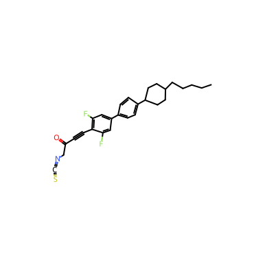 CCCCCC1CCC(c2ccc(-c3cc(F)c(C#CC(=O)CN=C=S)c(F)c3)cc2)CC1